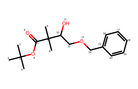 CC(C)(C)OC(=O)C(C)(C)C(O)COCc1ccccc1